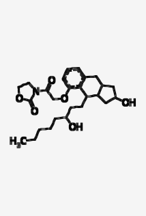 CCCCCC(O)CCC1c2c(cccc2OCC(=O)N2CCOC2=O)CC2CC(O)CC21